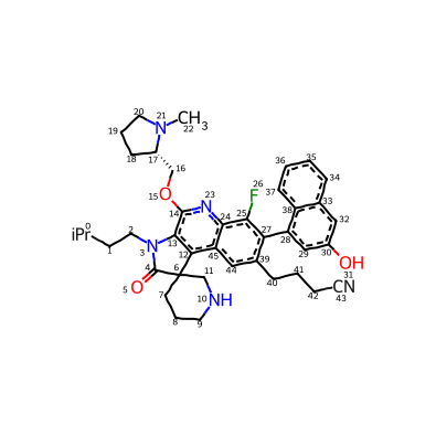 CC(C)CCN1C(=O)C2(CCCNC2)c2c1c(OC[C@@H]1CCCN1C)nc1c(F)c(-c3cc(O)cc4ccccc34)c(CCCC#N)cc21